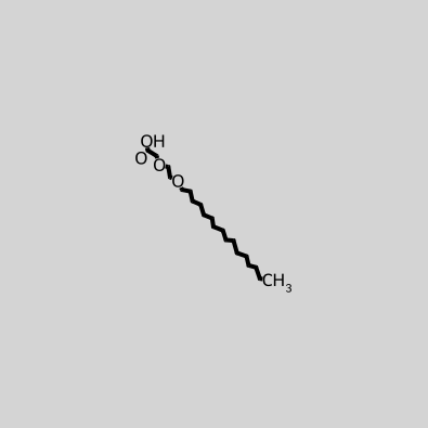 CCCCCCCCCCCCCCCCOCCOCC(=O)O